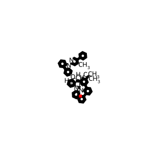 Cc1cc(-n2c3ccccc3c3ccc(Oc4cccc(-n5c[n+](-c6c(-c7ccccc7)cccc6-c6cc(C(C)(C)C)cc(C(C)(C)C)c6)c6ccccc65)c4)cc32)ncc1-c1ccccc1